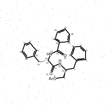 CC(=O)OC[C@H](Cc1ccccc1)NC(=O)[C@H](Cc1ccccc1)NC(=O)c1ccccc1